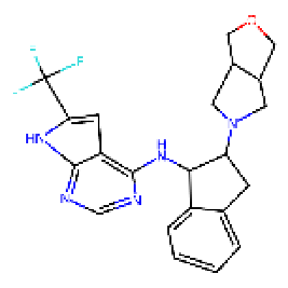 FC(F)(F)c1cc2c(NC3c4ccccc4CC3N3CC4COCC4C3)ncnc2[nH]1